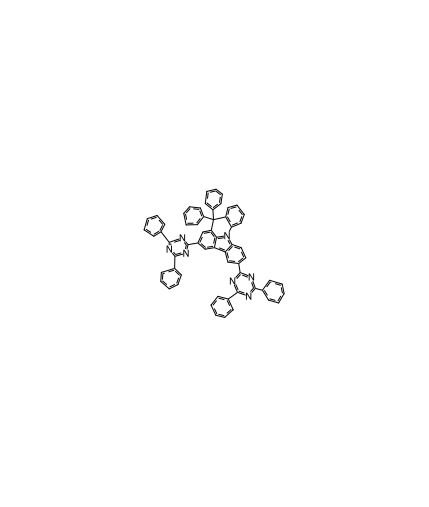 c1ccc(-c2nc(-c3ccccc3)nc(-c3ccc4c(c3)c3cc(-c5nc(-c6ccccc6)nc(-c6ccccc6)n5)cc5c3n4-c3ccccc3C5(c3ccccc3)c3ccccc3)n2)cc1